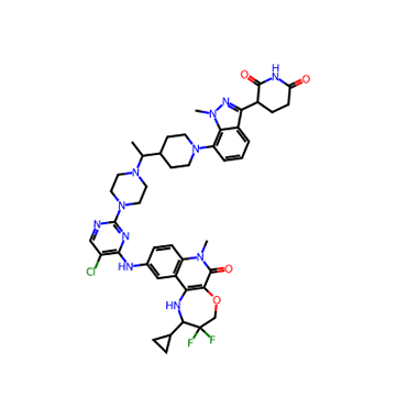 CC(C1CCN(c2cccc3c(C4CCC(=O)NC4=O)nn(C)c23)CC1)N1CCN(c2ncc(Cl)c(Nc3ccc4c(c3)c3c(c(=O)n4C)OCC(F)(F)C(C4CC4)N3)n2)CC1